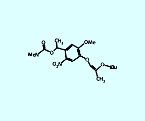 CCC(C)O/C(C)=C\Oc1cc([N+](=O)[O-])c(C(C)OC(=O)NC)cc1OC